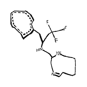 FC(F)(F)C(NC1N=CCCN1)c1ccccc1